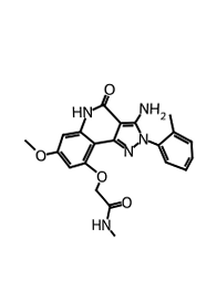 CNC(=O)COc1cc(OC)cc2[nH]c(=O)c3c(N)n(-c4ccccc4C)nc3c12